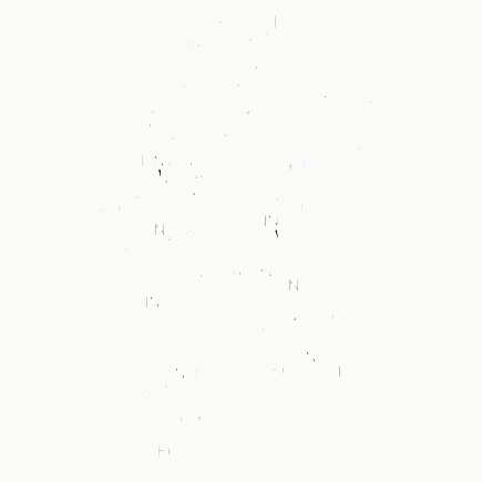 CCN(C(=O)[C@H](C)N1CC[C@H](NS(=O)(=O)/C=C/c2ccc(Cl)cc2)C1=O)C(C)C.C[C@@H](C(=O)NCCNC(=O)OC(C)(C)C)N1CC[C@H](NS(=O)(=O)c2ccc3cc(Cl)ccc3c2)C1=O